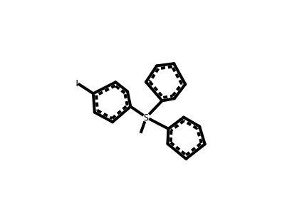 CS(c1ccccc1)(c1ccccc1)c1ccc(I)cc1